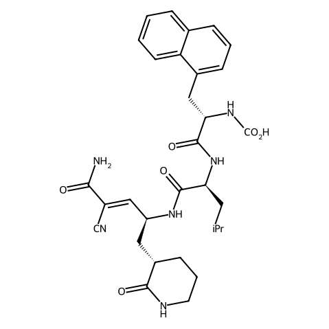 CC(C)C[C@H](NC(=O)[C@H](Cc1cccc2ccccc12)NC(=O)O)C(=O)N[C@H](/C=C(\C#N)C(N)=O)C[C@@H]1CCCNC1=O